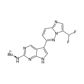 CC[C@H](C)Nc1ncc2c(-c3ccc4ncc(C(F)F)n4n3)c[nH]c2n1